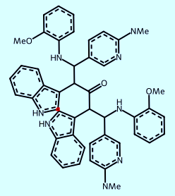 CNc1ccc(C(Nc2ccccc2OC)C(C(=O)C(c2c[nH]c3ccccc23)C(Nc2ccccc2OC)c2ccc(NC)nc2)c2c[nH]c3ccccc23)cn1